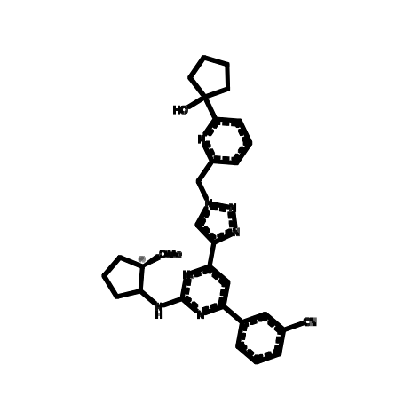 CO[C@@H]1CCCC1Nc1nc(-c2cccc(C#N)c2)cc(-c2cn(Cc3cccc(C4(O)CCCC4)n3)nn2)n1